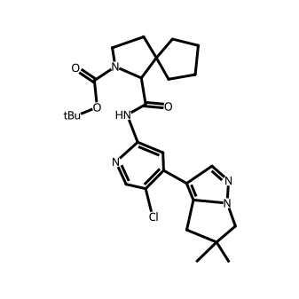 CC1(C)Cc2c(-c3cc(NC(=O)C4N(C(=O)OC(C)(C)C)CCC45CCCC5)ncc3Cl)cnn2C1